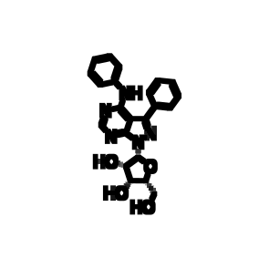 OC[C@H]1O[C@@H](n2nc(-c3ccccc3)c3c(Nc4ccccc4)ncnc32)[C@@H](O)[C@H]1O